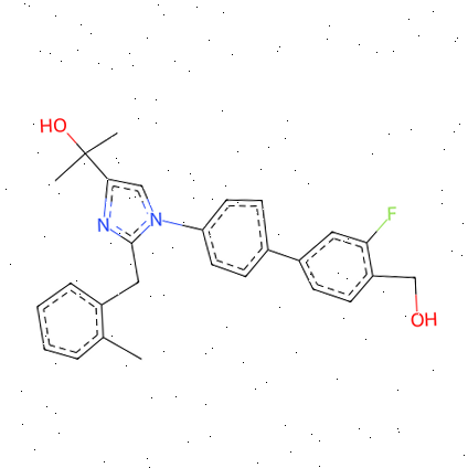 Cc1ccccc1Cc1nc(C(C)(C)O)cn1-c1ccc(-c2ccc(CO)c(F)c2)cc1